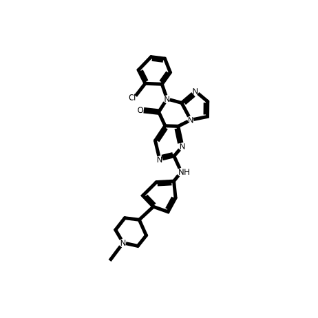 CN1CCC(c2ccc(Nc3ncc4c(=O)n(-c5ccccc5Cl)c5nccn5c4n3)cc2)CC1